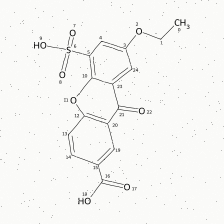 CCOc1cc(S(=O)(=O)O)c2oc3ccc(C(=O)O)cc3c(=O)c2c1